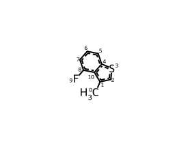 Cc1csc2cccc(F)c12